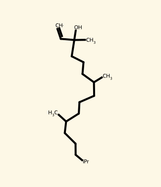 [CH]=CC(C)(O)CCCC(C)CCCC(C)CCCC(C)C